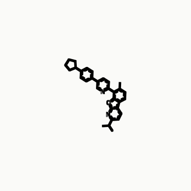 Cc1ccc2c(oc3nc(C(C)C)ccc32)c1-c1ccc(-c2ccc(C3CCCC3)cc2)cn1